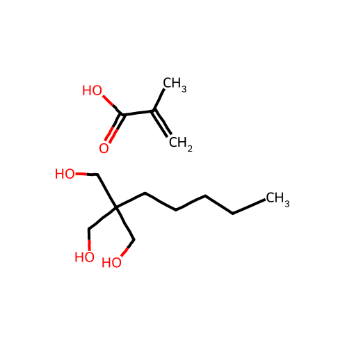 C=C(C)C(=O)O.CCCCCC(CO)(CO)CO